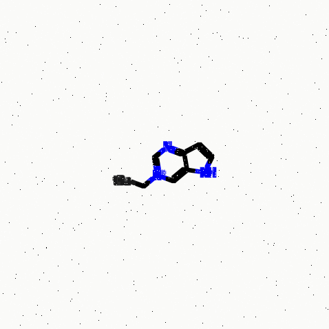 CC(C)(C)C[n+]1cnc2cc[nH]c2c1